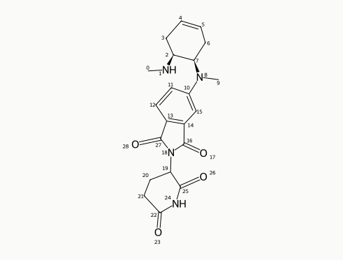 CN[C@H]1CC=CC[C@H]1N(C)c1ccc2c(c1)C(=O)N(C1CCC(=O)NC1=O)C2=O